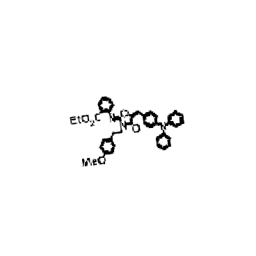 CCOC(=O)c1ccccc1/N=C1\O/C(=C/c2ccc(N(c3ccccc3)c3ccccc3)cc2)C(=O)N1CCc1ccc(OC)cc1